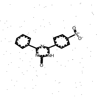 O=c1nc(-c2ccccc2)nc(-c2ccc([N+](=O)[O-])cc2)[nH]1